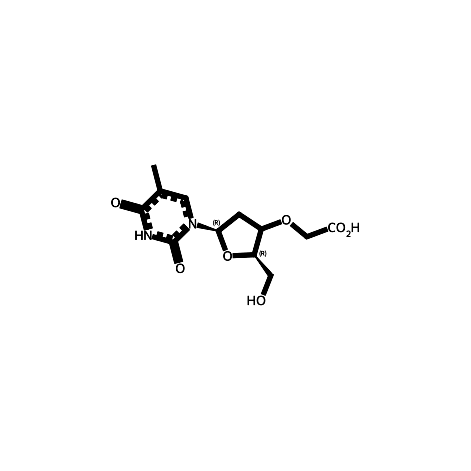 Cc1cn([C@H]2CC(OCC(=O)O)[C@@H](CO)O2)c(=O)[nH]c1=O